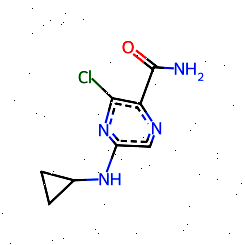 NC(=O)c1ncc(NC2CC2)nc1Cl